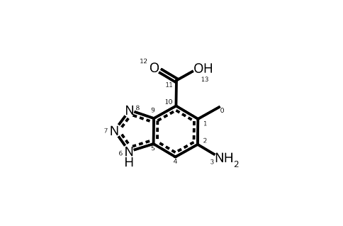 Cc1c(N)cc2[nH]nnc2c1C(=O)O